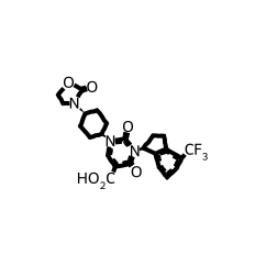 O=C(O)c1cn([C@H]2CC[C@@H](N3CCOC3=O)CC2)c(=O)n([C@H]2CCc3c2cccc3C(F)(F)F)c1=O